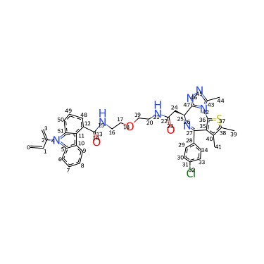 C=CC(=C)n1c2ccccc2c2c(C(=O)NCCOCCNC(=O)C[C@@H]3N=C(c4ccc(Cl)cc4)c4c(sc(C)c4C)-n4c(C)nnc43)cccc21